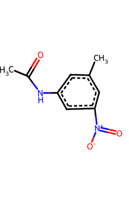 CC(=O)Nc1cc(C)cc([N+](=O)[O-])c1